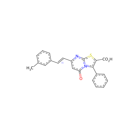 Cc1cccc(/C=C/c2cc(=O)n3c(-c4ccccc4)c(C(=O)O)sc3n2)c1